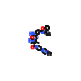 CC[C@@H](NC(=O)c1ccc2c(c1)/C(=C/c1[nH]c(C)c(C(=O)N3CCC(N4CCN(CC)CC4)CC3)c1C)C(=O)N2)c1ccccc1